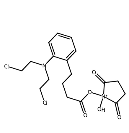 O=C(CCCc1ccccc1N(CCCl)CCCl)O[N+]1(O)C(=O)CCC1=O